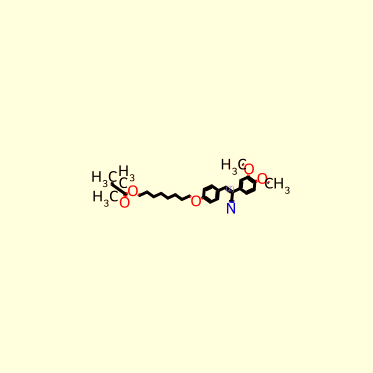 CCC(C)(C)C(=O)OCCCCCCCCOc1ccc(/C=C(\C#N)c2ccc(OC)c(OC)c2)cc1